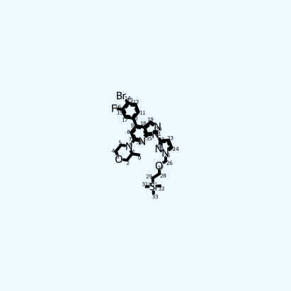 CC1COCCN1c1cc(-c2ccc(Br)c(F)c2)c2cnn(-c3ccn(COCC[Si](C)(C)C)n3)c2n1